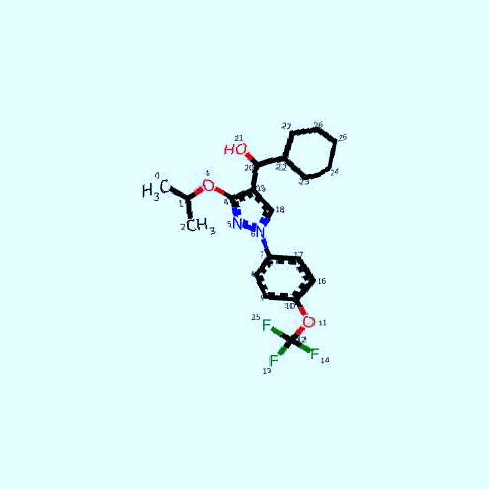 CC(C)Oc1nn(-c2ccc(OC(F)(F)F)cc2)cc1C(O)C1CCCCC1